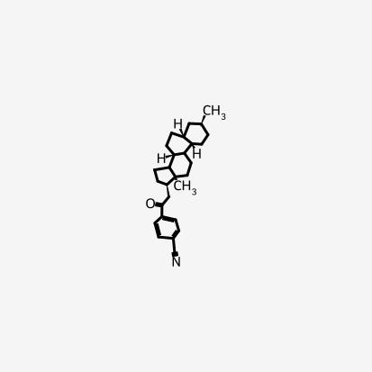 C[C@H]1CC[C@@H]2C3CC[C@@]4(C)C(CC[C@@H]4CC(=O)c4ccc(C#N)cc4)[C@@H]3CC[C@@H]2C1